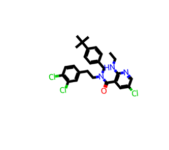 CCNc1ncc(Cl)cc1C(=O)N(CCc1ccc(Cl)c(Cl)c1)Cc1ccc(C(C)(C)C)cc1